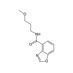 COCCCNC(=O)c1cccc2ocnc12